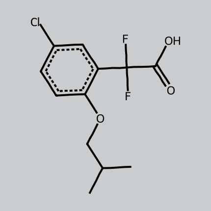 CC(C)COc1ccc(Cl)cc1C(F)(F)C(=O)O